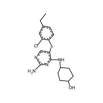 CCc1ccc(Sc2cnc(N)nc2NC2CCC(O)CC2)c(Cl)c1